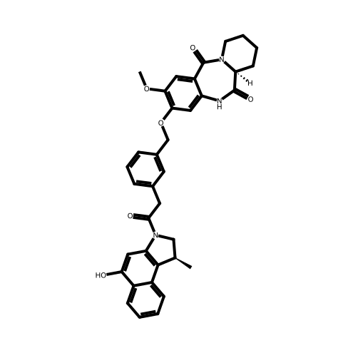 COc1cc2c(cc1OCc1cccc(CC(=O)N3C[C@@H](C)c4c3cc(O)c3ccccc43)c1)NC(=O)[C@@H]1CCCCN1C2=O